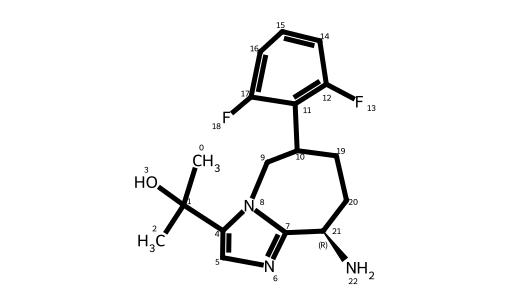 CC(C)(O)c1cnc2n1CC(c1c(F)cccc1F)CC[C@H]2N